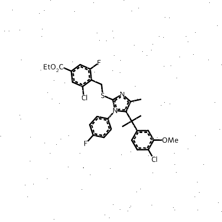 CCOC(=O)c1cc(F)c(CSc2nc(C)c(C(C)(C)c3ccc(Cl)c(OC)c3)n2-c2ccc(F)cc2)c(Cl)c1